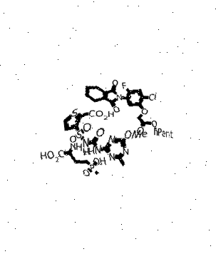 CCCCCOC(=O)COc1cc(N2C(=O)C3=C(CCCC3)C2=O)c(F)cc1Cl.COc1nc(C)nc(NC(=O)NS(=O)(=O)c2ccsc2C(=O)O)n1.CP(=O)(O)CCC(N)C(=O)O